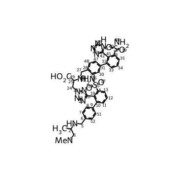 CNCC(C)NCc1ccc(-c2cccc(S(N)(=O)=O)c2-c2nnn(CC(NCc3ccc(-c4cccc(S(N)(=O)=O)c4-c4nnn[nH]4)cc3)C(=O)O)n2)cc1